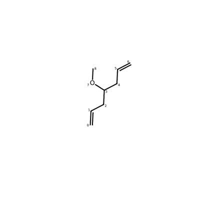 C=CCC(CC=C)OC